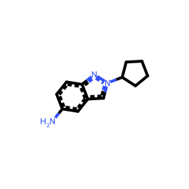 Nc1ccc2nn(C3CCCC3)cc2c1